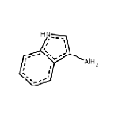 [AlH2][c]1c[nH]c2ccccc12